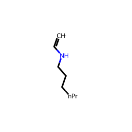 [CH]=CNCCCCCC